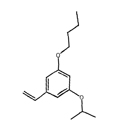 C=Cc1cc(OCCCC)cc(OC(C)C)c1